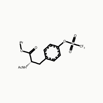 CC(=O)N[C@@H](Cc1ccc(OS(=O)(=O)C(F)(F)F)cc1)C(=O)OC(C)C